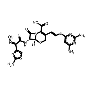 Nc1cc(S/C=C/C2=C(C(=O)O)N3C(=O)[C@@H](NC(=O)/C(=N\O)c4csc(N)n4)[C@H]3SC2)nc(N)n1